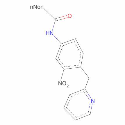 CCCCCCCCCC(=O)Nc1ccc(Cc2ccccn2)c([N+](=O)[O-])c1